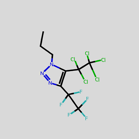 CCCn1nnc(C(F)(F)C(F)(F)F)c1C(Cl)(Cl)C(Cl)(Cl)Cl